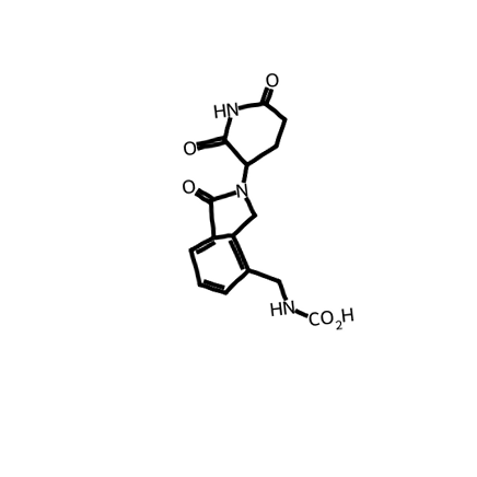 O=C(O)NCc1cccc2c1CN(C1CCC(=O)NC1=O)C2=O